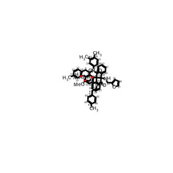 COC(CNC(C(=O)N(CCc1ccc(C)cc1)c1ccc(C)c(C)c1)(c1ccccc1)C(NCc1ccco1)(C(=O)N(CCc1ccc(C)cc1)c1ccc(C)c(C)c1)c1ccccc1)OC